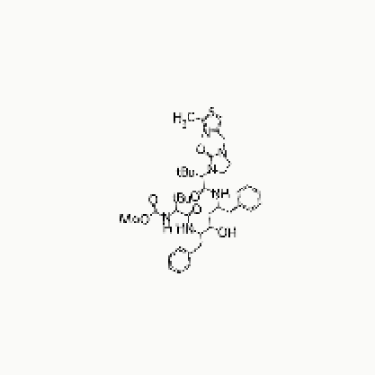 COC(=O)NC(C(=O)NC(Cc1ccccc1)C(O)CC(Cc1ccccc1)NC(=O)C(N1CCN(Cc2csc(C)n2)C1=O)C(C)(C)C)C(C)(C)C